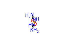 NCCc1ccc(NC(=O)c2ccc(C(=O)Nc3ccc(CCN)cc3)s2)cc1